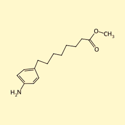 COC(=O)CCCCCCCc1ccc(N)cc1